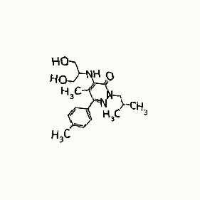 Cc1ccc(-c2nn(CC(C)C)c(=O)c(NC(CO)CO)c2C)cc1